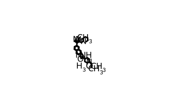 Cn1ncc(-c2ccc3cnc(NC(=O)C4CCN(CC(C)(C)C)CC4)cc3c2)c1CN1CCCCC1